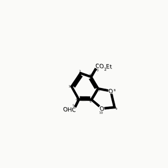 CCOC(=O)c1ccc(C=O)c2c1OCO2